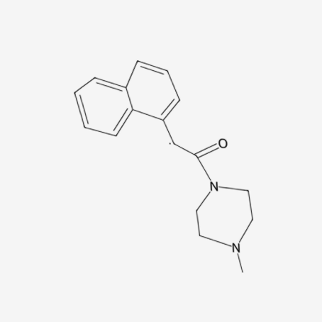 CN1CCN(C(=O)[CH]c2cccc3ccccc23)CC1